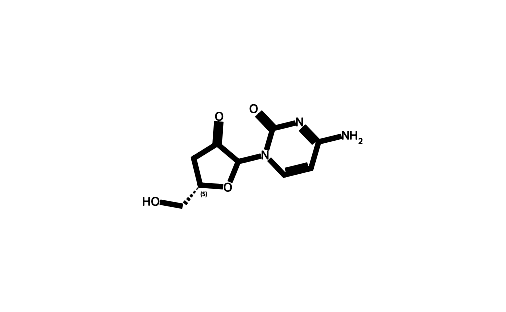 Nc1ccn(C2O[C@H](CO)CC2=O)c(=O)n1